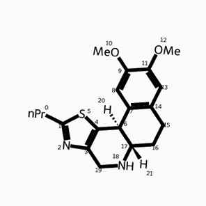 CCCc1nc2c(s1)[C@H]1c3cc(OC)c(OC)cc3CC[C@@H]1NC2